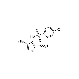 CCCCc1csc(C(=O)O)c1NS(=O)(=O)c1ccc(Cl)cc1